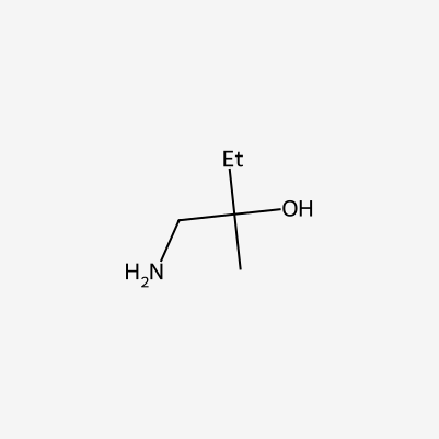 [CH2]CC(C)(O)CN